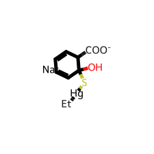 C[CH2][Hg][S]C1(O)C=CC=CC1C(=O)[O-].[Na+]